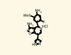 CSc1cc(-c2ncc(-c3cn[nH]c3)c3onc(N)c23)c(F)cc1N.Cl